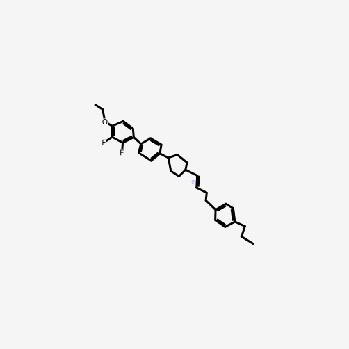 CCCc1ccc(CC/C=C/C2CCC(c3ccc(-c4ccc(OCC)c(F)c4F)cc3)CC2)cc1